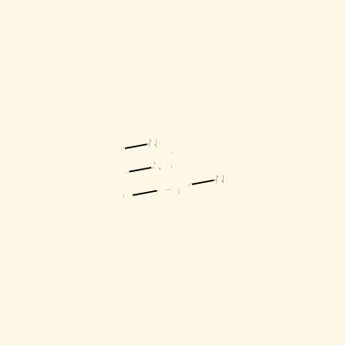 CC(C)(C)C.O=[N+]([O-])O.O=[N+]([O-])O.O=[N+]([O-])O